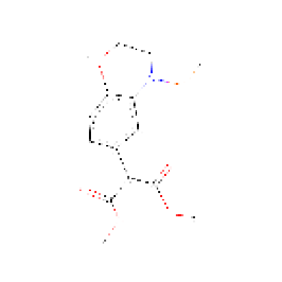 COC(=O)C(C(=O)OC)c1ccc2c(c1)N(PC)CCO2